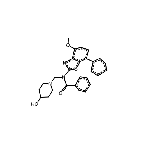 COc1ccc(-c2ccccc2)c2sc(N(CN3CCC(O)CC3)C(=O)c3ccccc3)nc12